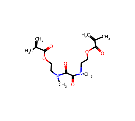 C=C(C)C(=O)OCCN(C)C(=O)C(=O)N(C)CCOC(=O)C(=C)C